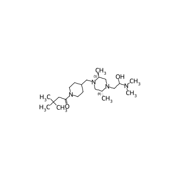 C[C@@H]1CN(CC2CCN(C(=O)CC(C)(C)C)CC2)[C@@H](C)CN1CC(O)N(C)C